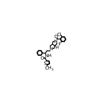 Cc1ccc(C(=O)NC(CCN2CC3CN(C(=O)c4c(F)cccc4Cl)C[C@@H]3C2)c2ccccc2)s1